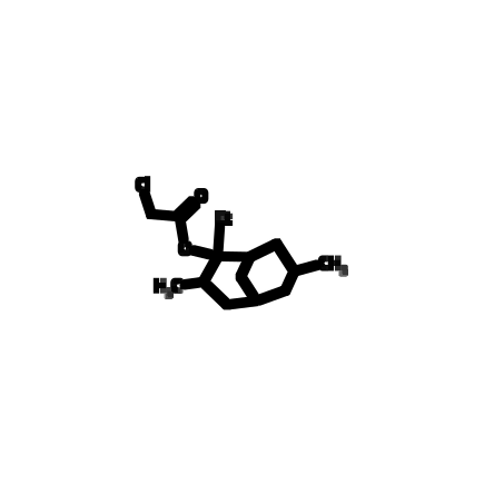 CCC1(OC(=O)CCl)C(C)CC2CC(C)CC1C2